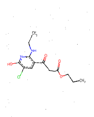 CCCOC(=O)CC(=O)c1cc(Cl)c(O)nc1NCC